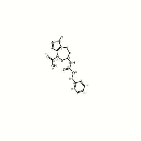 Cn1ncc2c1CCC(NC(=O)OCc1ccccc1)CN2C(=O)O